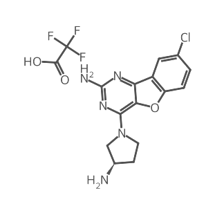 Nc1nc(N2CC[C@@H](N)C2)c2oc3ccc(Cl)cc3c2n1.O=C(O)C(F)(F)F